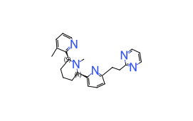 Cc1cccnc1[C@@H]1CCC[C@H](c2cccc(CCc3ncccn3)n2)N1C